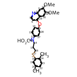 COc1cc2nccc(Oc3ccc(N(CCCSc4cc(C)ccc4C)C(=O)O)cc3)c2cc1OC